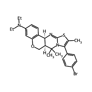 CCN(CC)c1ccc2c(c1)OC[C@H]1[C@@H]2N=C2SC(C)=C(c3ccc(Br)cc3)N2C1(C)C